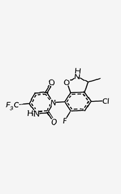 CC1NOc2c1c(Cl)cc(F)c2-n1c(=O)cc(C(F)(F)F)[nH]c1=O